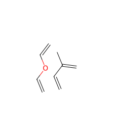 C=CC(=C)C.C=COC=C